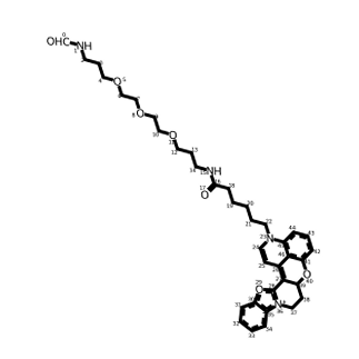 O=CNCCCOCCOCCOCCCNC(=O)CCCCCN1C=CC2=C3c4oc5ccccc5[n+]4CCC3Oc3cccc1c32